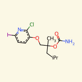 CC(C)CC(C)(COc1ccc(I)nc1Cl)OC(N)=O